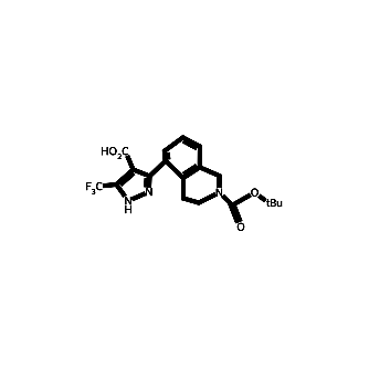 CC(C)(C)OC(=O)N1CCc2c(cccc2-c2n[nH]c(C(F)(F)F)c2C(=O)O)C1